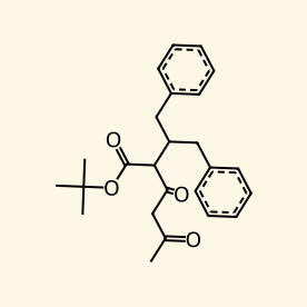 CC(=O)CC(=O)C(C(=O)OC(C)(C)C)C(Cc1ccccc1)Cc1ccccc1